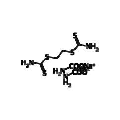 NC(=O)[O-].NC(=O)[O-].NC(=S)SCCSC(N)=S.[Na+].[Na+]